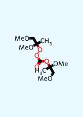 COCC(C)(OC)OOC(=O)OC(C)(COC)OC